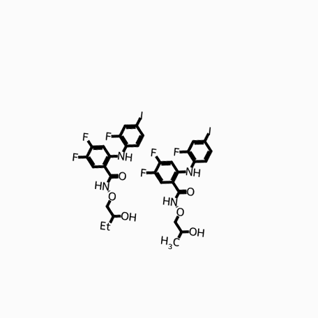 CC(O)CONC(=O)c1cc(F)c(F)cc1Nc1ccc(I)cc1F.CCC(O)CONC(=O)c1cc(F)c(F)cc1Nc1ccc(I)cc1F